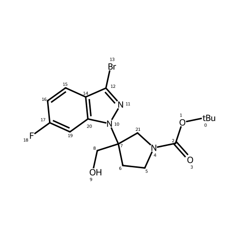 CC(C)(C)OC(=O)N1CCC(CO)(n2nc(Br)c3ccc(F)cc32)C1